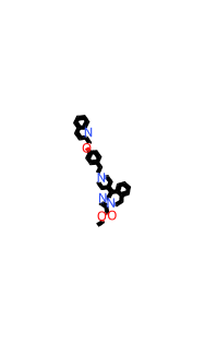 CCOC(=O)c1cnc2n1CCc1ccccc1C2=C1CCN(CCc2ccc(OCc3ccc4ccccc4n3)cc2)CC1